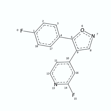 Fc1ccc(-c2oncc2-c2ccnc(F)c2)cc1